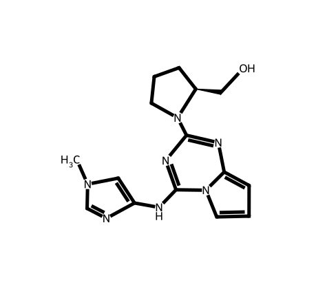 Cn1cnc(Nc2nc(N3CCC[C@H]3CO)nc3cccn23)c1